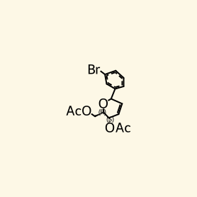 CC(=O)OC[C@H]1OC(c2cccc(Br)c2)C=C[C@@H]1OC(C)=O